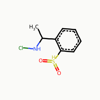 CC(NCl)c1ccccc1[SH](=O)=O